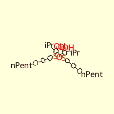 CCCCCC1CCC(c2ccc(-c3ccc(Sc4cc(CC(C)C)c(O)c5c4C(=O)c4c(Sc6ccc(-c7ccc(C8CCC(CCCCC)CC8)cc7)cc6)cc(CC(C)C)c(O)c4C5=O)cc3)cc2)CC1